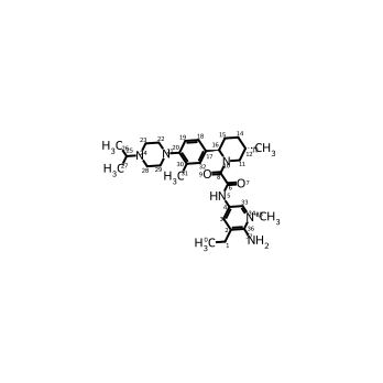 CCc1cc(NC(=O)C(=O)N2C[C@@H](C)CC[C@@H]2c2ccc(N3CCN(C(C)C)CC3)c(C)c2)c[n+](C)c1N